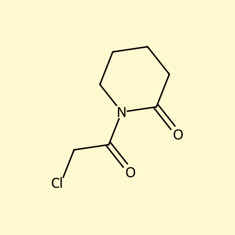 O=C(CCl)N1CCCCC1=O